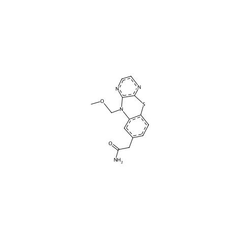 COCN1c2cc(CC(N)=O)ccc2Sc2nccnc21